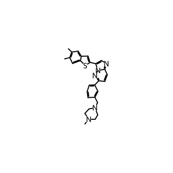 Cc1cc2cc(-c3cnc4ccc(-c5cccc(CN6CCN(C)CC6)c5)nn34)sc2cc1C